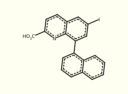 O=C(O)c1ccc2cc(I)cc(-c3cccc4ccccc34)c2n1